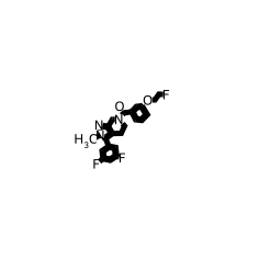 Cn1nc2c(c1-c1cc(F)cc(F)c1)CCN(C(=O)c1cccc(OCCF)c1)C2